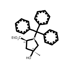 CCOC(=O)[C@@H]1C[C@](C)(O)CN1C(c1ccccc1)(c1ccccc1)c1ccccc1